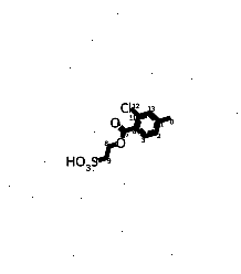 Cc1ccc(C(=O)OCCS(=O)(=O)O)c(Cl)c1